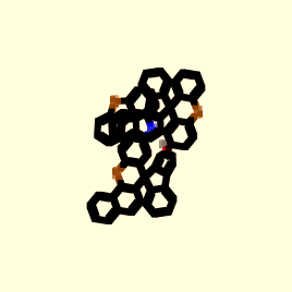 C[C@@H]1CC=C2Sc3ccccc3C3(C2=C1N(c1ccc2c(c1)C1(c4ccccc4-c4ccccc41)c1ccc4ccccc4c1S2)c1cccc2sc4ccccc4c12)c1ccccc1-c1c3ccc2ccccc12